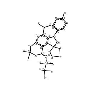 Cc1ccc([C@H]2OC3(CCCC3)c3c2c(C(C)C)nc2c3[C@@H](O[Si](C)(C)C(C)(C)C)CC(C)(C)C2)cc1